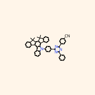 CC1(C)c2ccccc2-c2c1c1c(c3c2c2ccccc2n3-c2ccc(-c3nc(-c4ccccc4)nc(-c4ccc(C#N)cc4)n3)cc2)-c2ccccc2C1(C)C